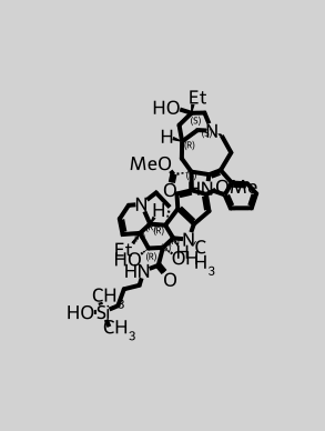 CC[C@]1(O)C[C@@H]2C[N@@](CCc3c([nH]c4ccccc34)[C@@](C(=O)OC)(c3cc4c(cc3OC)N(C)[C@H]3[C@@](O)(C(=O)NCCC[Si](C)(C)O)[C@H](O)[C@]5(CC)C=CCN6CC[C@]43[C@@H]65)C2)C1